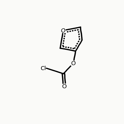 O=C(Cl)Oc1ccoc1